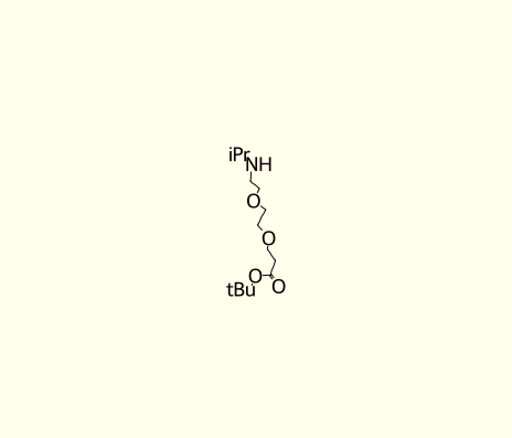 CC(C)NCCOCCOCCC(=O)OC(C)(C)C